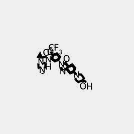 CN1CCN(C2(C(=O)Nc3cc(-n4cnc5cc(N6CCC(C)(O)CC6)ccc5c4=O)ccc3OC(F)(F)F)CC2)CC1